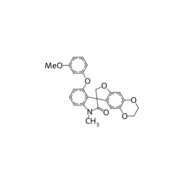 COc1cccc(Oc2cccc3c2C2(COc4cc5c(cc42)OCCO5)C(=O)N3C)c1